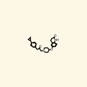 O=C(Cc1ccc(C2CC2)cc1)CN1CCC(Oc2ccc3c(c2)CCC(=O)N3)CC1